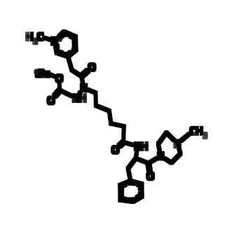 CN1CCN(C(=O)C(Cc2ccccc2)NC(=O)CCCCCN(NC(=O)OC(C)(C)C)C(=O)Cc2ccc[n+](C)c2)CC1